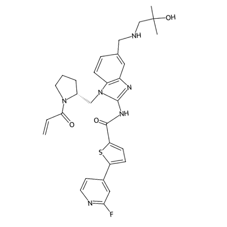 C=CC(=O)N1CCC[C@@H]1Cn1c(NC(=O)c2ccc(-c3ccnc(F)c3)s2)nc2cc(CNCC(C)(C)O)ccc21